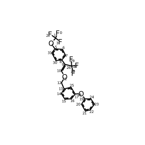 FC(F)(F)Oc1ccc(C(=COCc2cccc(Oc3ccccc3)c2)C(F)(F)F)cc1